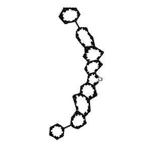 c1ccc(-c2ccc3cc4cc5oc6cc7cc8ccc(-c9ccccc9)cc8cc7cc6c5cc4cc3c2)cc1